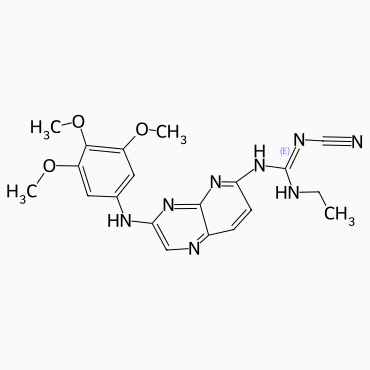 CCN/C(=N\C#N)Nc1ccc2ncc(Nc3cc(OC)c(OC)c(OC)c3)nc2n1